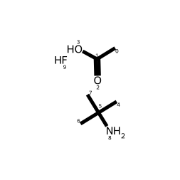 CC(=O)O.CC(C)(C)N.F